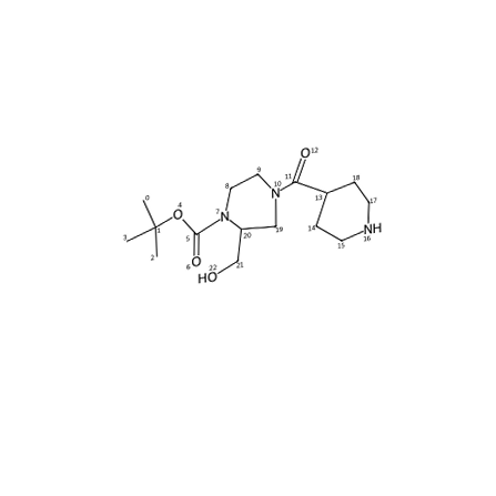 CC(C)(C)OC(=O)N1CCN(C(=O)C2CCNCC2)CC1CO